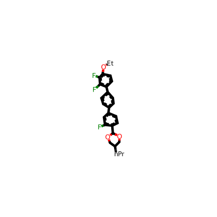 CCCC1COC(c2ccc(-c3ccc(-c4ccc(OCC)c(F)c4F)cc3)cc2F)OC1